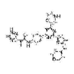 O=C(Nc1ccc(-c2nc(-c3ccc(CN4CCOCC4)s3)nc(C3CNCCO3)n2)cc1)Nc1nc[nH]n1